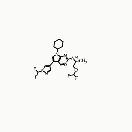 C[C@@H](COC(F)F)Nc1ncc2c(-c3cnn(C(F)F)c3)cn(C3CCCCC3)c2n1